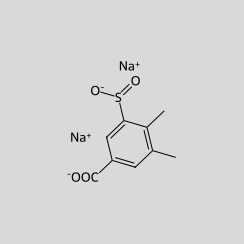 Cc1cc(C(=O)[O-])cc(S(=O)[O-])c1C.[Na+].[Na+]